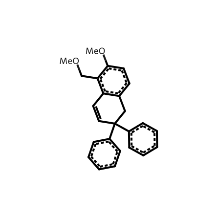 COCc1c(OC)ccc2c1C=CC(c1ccccc1)(c1ccccc1)C2